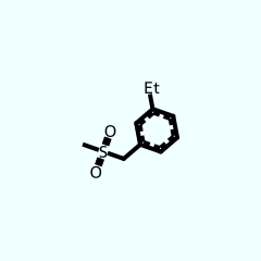 CCc1cccc(CS(C)(=O)=O)c1